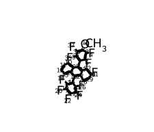 COc1c(F)c(F)c(-c2c3ccccc3c(-c3c(F)c(F)c(F)c(F)c3F)c3ccc(F)cc23)c(F)c1F